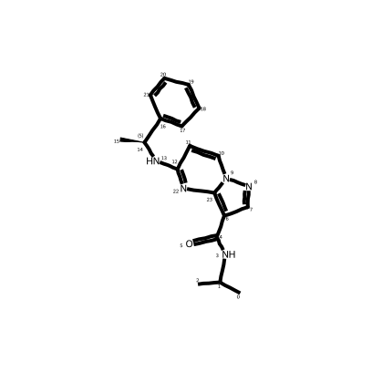 CC(C)NC(=O)c1cnn2ccc(N[C@@H](C)c3ccccc3)nc12